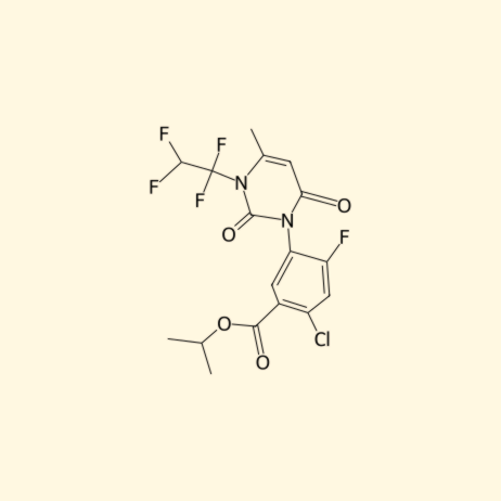 Cc1cc(=O)n(-c2cc(C(=O)OC(C)C)c(Cl)cc2F)c(=O)n1C(F)(F)C(F)F